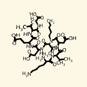 CCCCCN(C(=O)C(CC(=O)O)NC(=O)C(NC(=O)C(N)CCCCN)C(C)C)C(C(=O)NC(CC(=O)O)C(=O)NC(CCC(=O)O)C(=O)NC(C(=O)NCC(=O)O)C(C)C)C(C)C